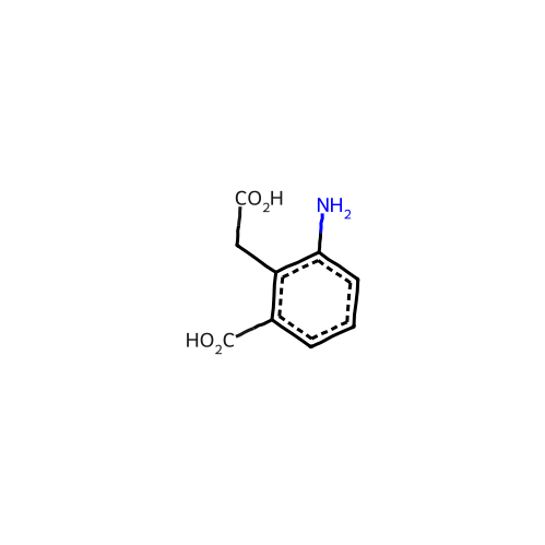 Nc1cccc(C(=O)O)c1CC(=O)O